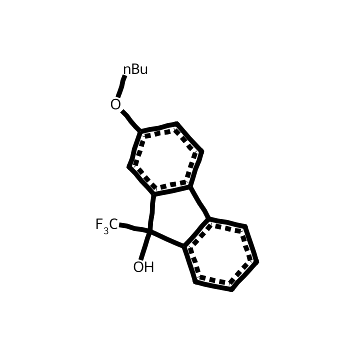 CCCCOc1ccc2c(c1)C(O)(C(F)(F)F)c1ccccc1-2